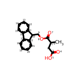 CC(CC(=O)O)C(=O)OCC1c2ccccc2-c2ccccc21